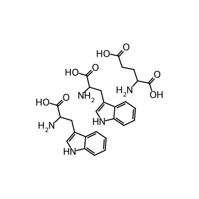 NC(CCC(=O)O)C(=O)O.NC(Cc1c[nH]c2ccccc12)C(=O)O.NC(Cc1c[nH]c2ccccc12)C(=O)O